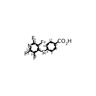 O=C(O)c1ccc(Sc2c(F)c(F)nc(F)c2F)cc1